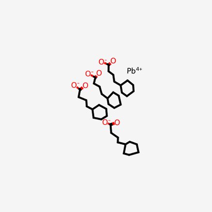 O=C([O-])CCCC1CCCCC1.O=C([O-])CCCC1CCCCC1.O=C([O-])CCCC1CCCCC1.O=C([O-])CCCC1CCCCC1.[Pb+4]